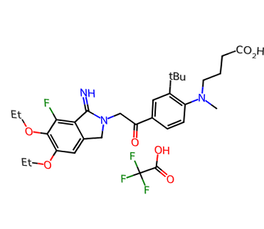 CCOc1cc2c(c(F)c1OCC)C(=N)N(CC(=O)c1ccc(N(C)CCCC(=O)O)c(C(C)(C)C)c1)C2.O=C(O)C(F)(F)F